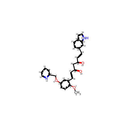 COc1ccc(OCc2ccccn2)cc1/C=C/C(=O)CC(=O)/C=C/c1ccc2cc[nH]c2c1